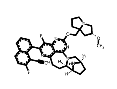 C#Cc1c(F)ccc2cccc(-c3nc4c5c(nc(OCC67CCCN6C[C@H](OC(F)(F)F)C7)nc5c3F)N3C[C@H]5CC[C@H](N5)[C@H]3CC4)c12